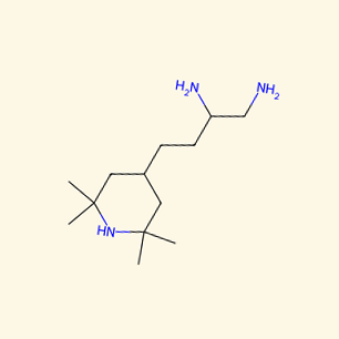 CC1(C)CC(CCC(N)CN)CC(C)(C)N1